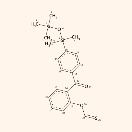 C[Si](C)(C)O[Si](C)(C)c1ccc(C(=O)c2ccccc2OC=S)cc1